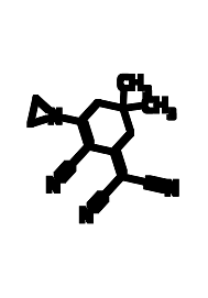 CC1(C)CC(=C(C#N)C#N)C(C#N)=C(N2CC2)C1